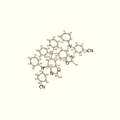 Cc1nc2c(N(c3ccccc3)c3ccc(C#N)cc3)cc3c(c2o1)-c1c(cc(N(c2ccccc2)c2ccc(C#N)cc2)c2nc(C)oc12)C3(c1ccccc1)c1ccccc1